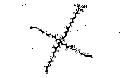 C#CCOCCOCCNC(=O)CCC(CCC(=O)NCCOCCOCC#C)(CCC(=O)NCCOCCOCC#C)NC(=O)CCCC(=O)NCCCCCCOP(=O)(O)S